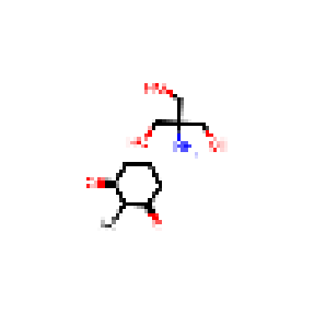 CC(=O)C1C(=O)CCCC1=O.NC(CO)(CO)CO